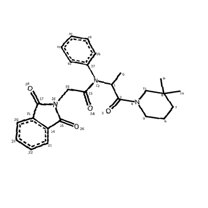 CC(C(=O)N1CCCC(C)(C)C1)N(C(=O)CN1C(=O)c2ccccc2C1=O)c1ccccc1